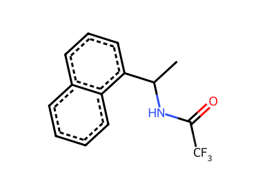 CC(NC(=O)C(F)(F)F)c1cccc2ccccc12